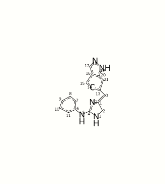 C(=C1\CNC(Nc2ccccc2)=N1)/c1ccc2cn[nH]c2c1